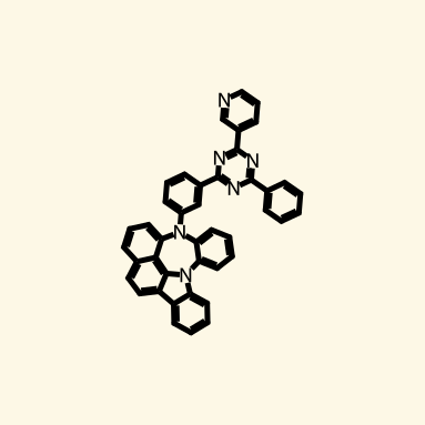 c1ccc(-c2nc(-c3cccnc3)nc(-c3cccc(-n4c5cccc6ccc7c8ccccc8n(c8ccccc84)c7c65)c3)n2)cc1